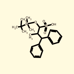 CC(C(c1ccccc1)c1ccccc1)C(O[Si](C)(C)C(C)(C)C)S(=O)(=O)O